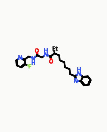 CCC(CCCCCCc1nc2ccccc2[nH]1)C(=O)NCC(=O)NCc1ncccc1F